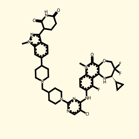 Cn1nc(C2CCC(=O)NC2=O)c2ccc(C3CCN(CC4CCN(c5ncc(Cl)c(Nc6ccc7c(c6F)c6c(c(=O)n7C)OCC(F)(F)[C@H](C7CC7)N6)n5)CC4)CC3)cc21